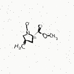 C=C1C[C@@H](C(=O)OC)N(Cl)C1